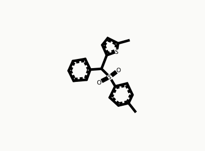 Cc1ccc(S(=O)(=O)C(c2ccccc2)c2ccc(C)s2)cc1